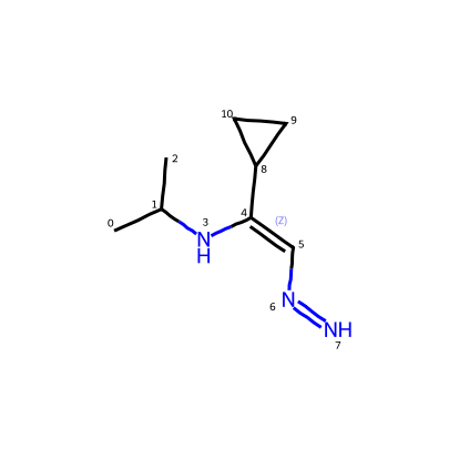 CC(C)N/C(=C\N=N)C1CC1